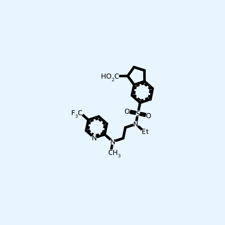 CCN(CCN(C)c1ccc(C(F)(F)F)cn1)S(=O)(=O)c1ccc2c(c1)C(C(=O)O)CC2